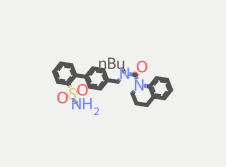 CCCCN(Cc1ccc(-c2ccccc2S(N)(=O)=O)cc1)C(=O)N1CCCc2ccccc21